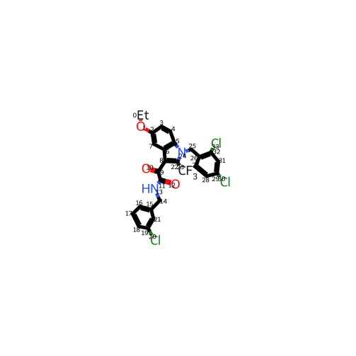 CCOc1ccc2c(c1)c(C(=O)C(=O)NCc1cccc(Cl)c1)c(C(F)(F)F)n2Cc1ccc(Cl)cc1Cl